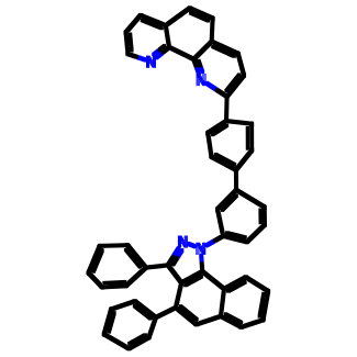 c1ccc(-c2cc3ccccc3c3c2c(-c2ccccc2)nn3-c2cccc(-c3ccc(-c4ccc5ccc6cccnc6c5n4)cc3)c2)cc1